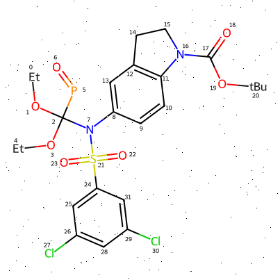 CCOC(OCC)(P=O)N(c1ccc2c(c1)CCN2C(=O)OC(C)(C)C)S(=O)(=O)c1cc(Cl)cc(Cl)c1